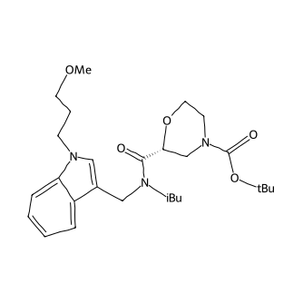 CCC(C)N(Cc1cn(CCCOC)c2ccccc12)C(=O)[C@H]1CN(C(=O)OC(C)(C)C)CCO1